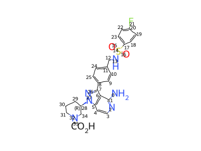 Nc1nccc2c1c(-c1ccc(CNS(=O)(=O)c3ccc(F)cc3)cc1)nn2[C@@H]1CCCN(C(=O)O)C1